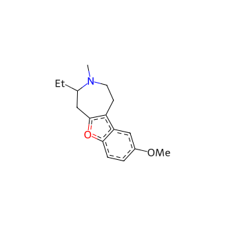 CCC1Cc2oc3ccc(OC)cc3c2CCN1C